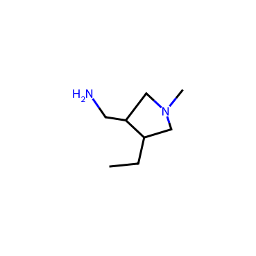 CCC1CN(C)CC1CN